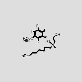 Br.CCCCCCCCCCCCCCCC[N+](C)(CC)CCO.O=C(O)c1c(F)c(F)c(F)c(F)c1F